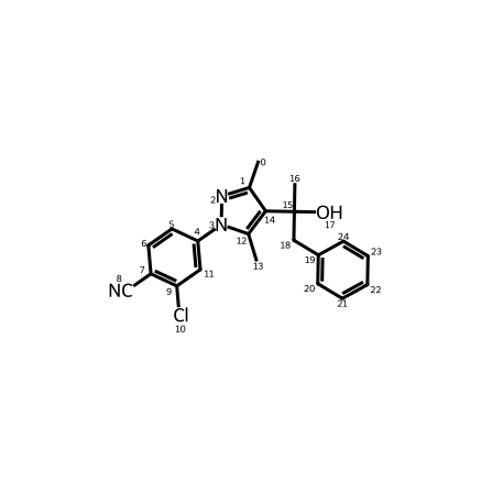 Cc1nn(-c2ccc(C#N)c(Cl)c2)c(C)c1C(C)(O)Cc1ccccc1